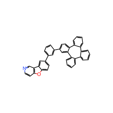 c1cc(-c2ccc3c(c2)-c2ccccc2-c2ccccc2-c2ccccc2-3)cc(-c2ccc3oc4ccncc4c3c2)c1